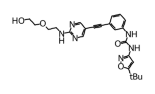 CC(C)(C)c1cc(NC(=O)Nc2cccc(C#Cc3cnc(NCCOCCO)nc3)c2)no1